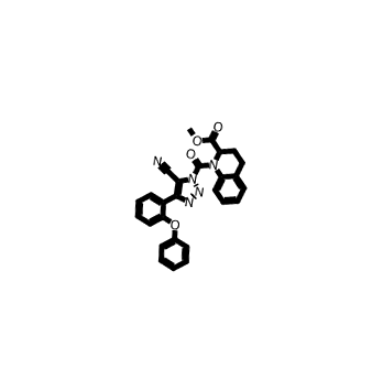 COC(=O)C1CCc2ccccc2N1C(=O)n1nnc(-c2ccccc2Oc2ccccc2)c1C#N